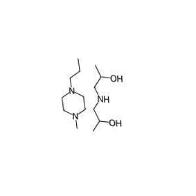 CC(O)CNCC(C)O.CCCN1CCN(C)CC1